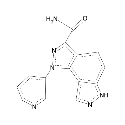 NC(=O)c1nn(-c2cccnc2)c2c1ccc1[nH]ncc12